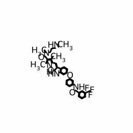 CNCCCN(C)C(=O)c1c(C)[nH]c(C=C2C(=O)Nc3cc(Oc4cccc(NC(=O)c5cccc(C(F)(F)F)c5)c4)ccc32)c1C